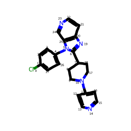 Clc1ccc(-n2c(C3CCN(c4ccncc4)CC3)nc3ccncc32)cc1